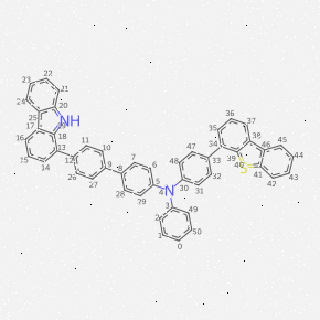 c1ccc(N(c2ccc(-c3ccc(-c4cccc5c4[nH]c4ccccc45)cc3)cc2)c2ccc(-c3cccc4c3sc3ccccc34)cc2)cc1